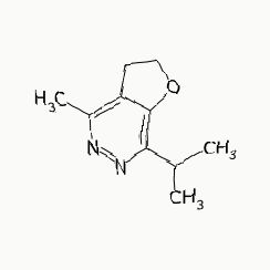 Cc1nnc(C(C)C)c2c1CCO2